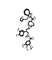 COc1cc(C(=O)N(C)CC(CCN2CCC(C(=O)c3nc4ccccc4n3Cc3ccco3)CC2)c2ccc(F)c(F)c2)cc(OC)c1OC